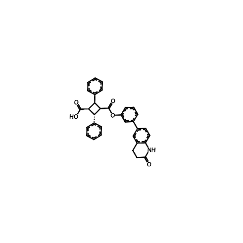 O=C1CCc2cc(-c3cccc(OC(=O)C4C(c5ccccc5)[C@H](C(=O)O)[C@H]4c4ccccc4)c3)ccc2N1